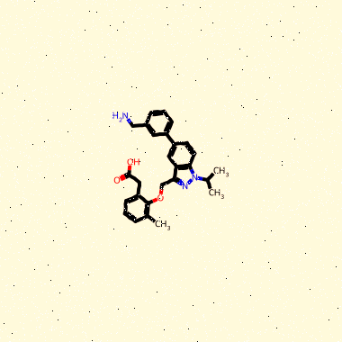 Cc1cccc(CC(=O)O)c1OCc1nn(C(C)C)c2ccc(-c3cccc(CN)c3)cc12